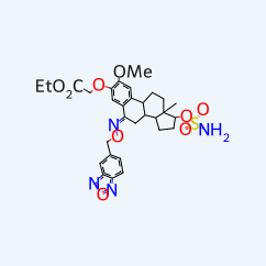 CCOC(=O)COc1cc2c(cc1OC)C1CCC3(C)C(OS(N)(=O)=O)CCC3C1C/C2=N\OCc1ccc2nonc2c1